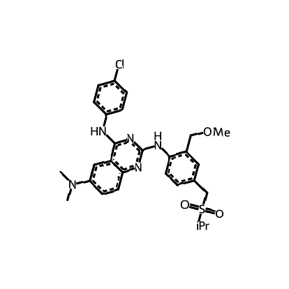 COCc1cc(CS(=O)(=O)C(C)C)ccc1Nc1nc(Nc2ccc(Cl)cc2)c2cc(N(C)C)ccc2n1